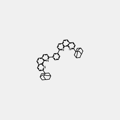 c1cc(-c2ccc3ccc4ccc(C56CC7CC(CC(C7)C5)C6)nc4c3n2)cc(-c2ccc3ccc4ccc(C56CC7CC(CC(C7)C5)C6)nc4c3n2)c1